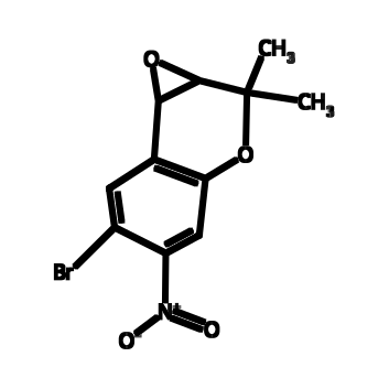 CC1(C)Oc2cc([N+](=O)[O-])c(Br)cc2C2OC21